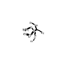 CCNC(CC)[Si](OCC)(OCC)OCC.N